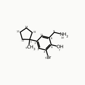 CC1(c2cc(Br)c(O)c(CN)c2)CCCC1